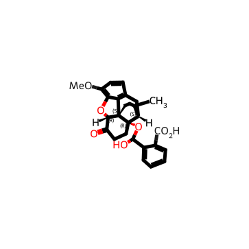 COc1ccc2c3c1O[C@H]1C(=O)CC[C@@]4(OC(O)c5ccccc5C(=O)O)[C@@H](C2)C(C)CC[C@]314